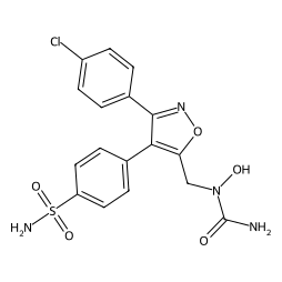 NC(=O)N(O)Cc1onc(-c2ccc(Cl)cc2)c1-c1ccc(S(N)(=O)=O)cc1